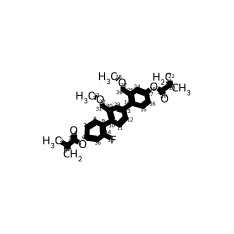 C=C(C)C(=O)Oc1ccc(-c2ccc(-c3ccc(OC(=O)C(=C)C)cc3COC)cc2COC)c(F)c1